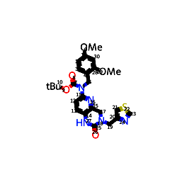 COc1ccc(CN(C(=O)OC(C)(C)C)c2ccc3c(n2)CN(Cc2cscn2)C(=O)N3)c(OC)c1